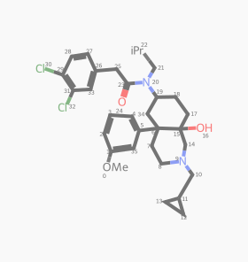 COc1cccc(C23CCN(CC4CC4)CC2(O)CCC(N(CC(C)C)C(=O)Cc2ccc(Cl)c(Cl)c2)C3)c1